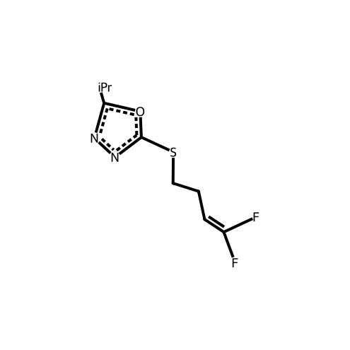 CC(C)c1nnc(SCCC=C(F)F)o1